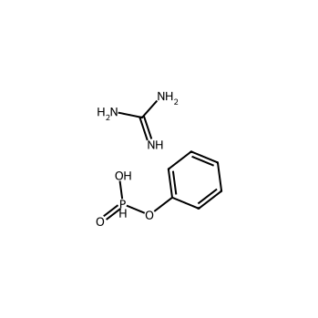 N=C(N)N.O=[PH](O)Oc1ccccc1